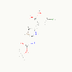 CC(C)(C)OC(=O)Nc1nc(C(CCF)C(=O)O)cs1